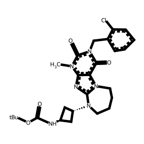 Cn1c(=O)n(Cc2ccccc2Cl)c(=O)c2c1nc1n2CCCCN1[C@H]1C[C@H](NC(=O)OC(C)(C)C)C1